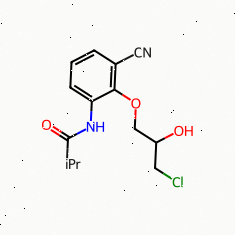 CC(C)C(=O)Nc1cccc(C#N)c1OCC(O)CCl